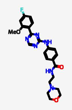 COc1cc(F)ccc1-c1ncnc(Nc2ccc(C(=O)NCCN3CCOCC3)cc2)n1